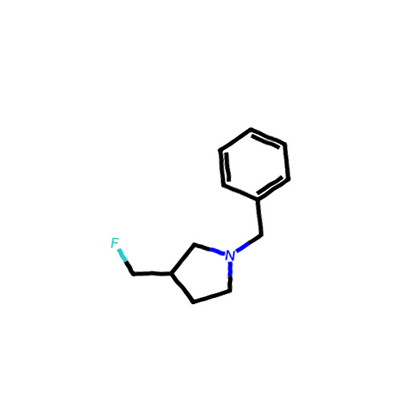 FCC1CCN(Cc2ccccc2)C1